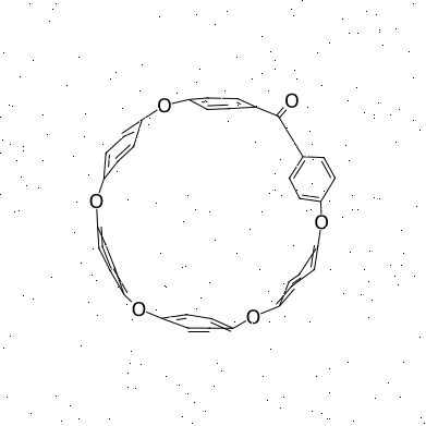 O=c1c2ccc(cc2)oc2ccc(cc2)oc2ccc(cc2)oc2ccc(cc2)oc2ccc(cc2)oc2ccc1cc2